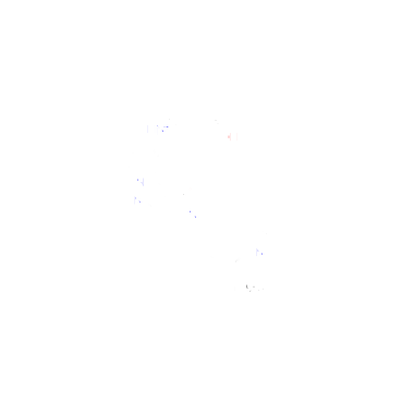 COc1ccc(CNC(=O)c2cnn3ccc(N[C@H]4CC[C@H](O)C4)cc23)c2cc[nH]c12